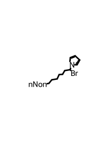 CCCCCCCCCCCCCCCC(Br)[n+]1ccccc1